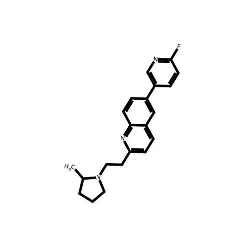 CC1CCCN1CCc1ccc2cc(-c3ccc(F)nc3)ccc2n1